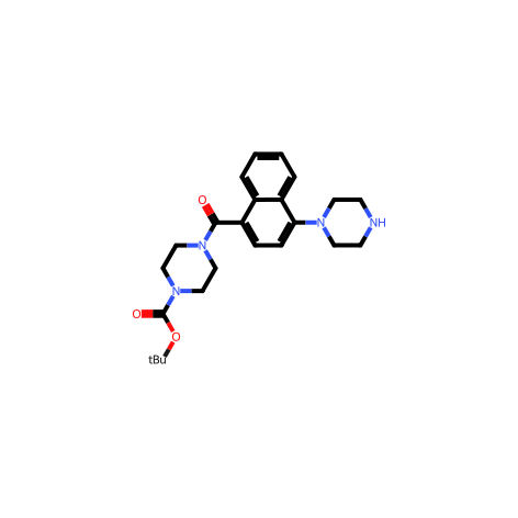 CC(C)(C)OC(=O)N1CCN(C(=O)c2ccc(N3CCNCC3)c3ccccc23)CC1